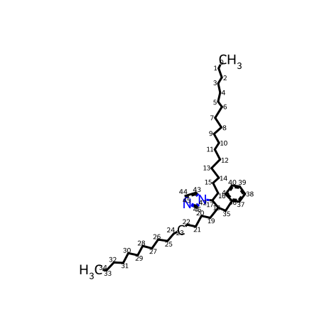 CCCCCCCCCCCCCCCCCC(C(CCCCCCCCCCCCCCCC)Cc1ccccc1)n1ccnc1